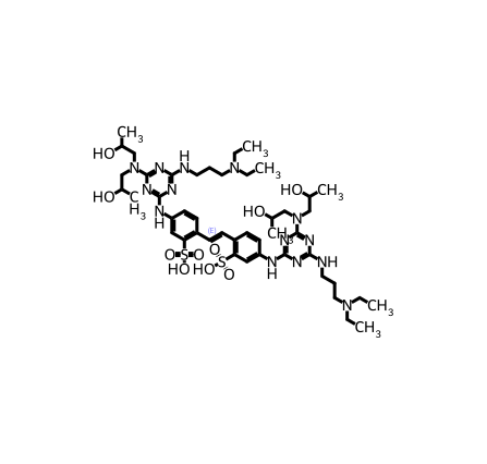 CCN(CC)CCCNc1nc(Nc2ccc(/C=C/c3ccc(Nc4nc(NCCCN(CC)CC)nc(N(CC(C)O)CC(C)O)n4)cc3S(=O)(=O)O)c(S(=O)(=O)O)c2)nc(N(CC(C)O)CC(C)O)n1